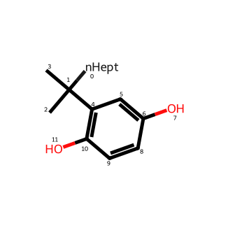 CCCCCCCC(C)(C)c1cc(O)ccc1O